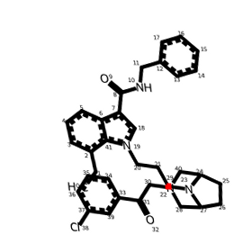 CCc1cccc2c(C(=O)NCc3ccccc3)cn(CCCN3C4CCC3CN(CC(=O)c3cccc(Cl)c3)C4)c12